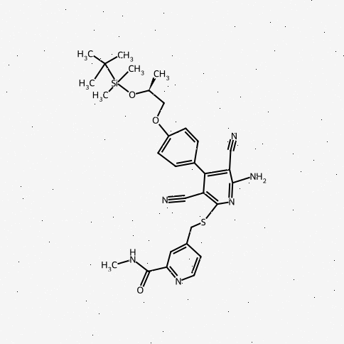 CNC(=O)c1cc(CSc2nc(N)c(C#N)c(-c3ccc(OC[C@H](C)O[Si](C)(C)C(C)(C)C)cc3)c2C#N)ccn1